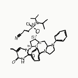 Cc1cn([C@H]2C[C@H](O[PH](Cl)(CCC#N)N(C(C)C)C(C)C)[C@@H](CC3N(c4ccccc4)CCN3c3ccccc3)O2)c(=O)[nH]c1=O